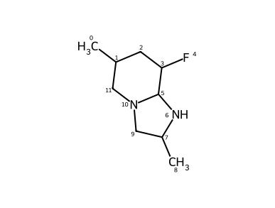 CC1CC(F)C2NC(C)CN2C1